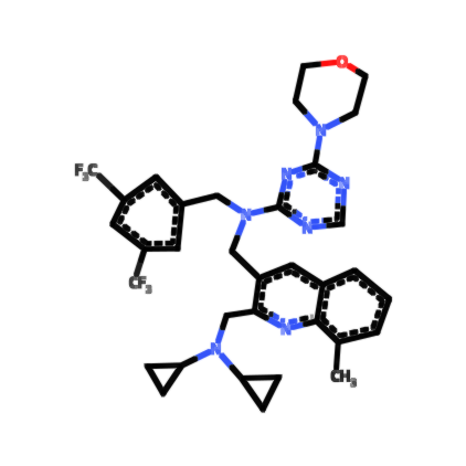 Cc1cccc2cc(CN(Cc3cc(C(F)(F)F)cc(C(F)(F)F)c3)c3ncnc(N4CCOCC4)n3)c(CN(C3CC3)C3CC3)nc12